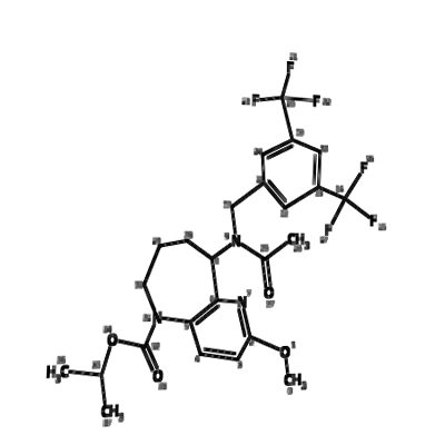 COc1ccc2c(n1)C(N(Cc1cc(C(F)(F)F)cc(C(F)(F)F)c1)C(C)=O)CCCN2C(=O)OC(C)C